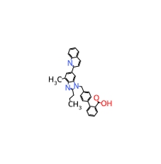 CCCc1nc2c(C)cc(-c3ccc4ccccc4n3)cc2n1Cc1ccc(-c2ccccc2C(=O)O)cc1